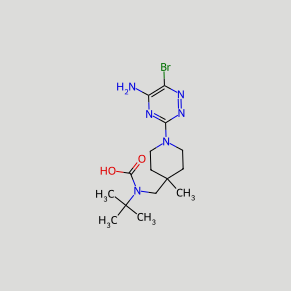 CC1(CN(C(=O)O)C(C)(C)C)CCN(c2nnc(Br)c(N)n2)CC1